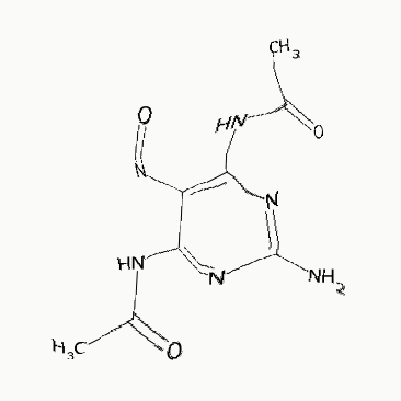 CC(=O)Nc1nc(N)nc(NC(C)=O)c1N=O